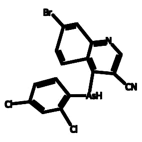 N#Cc1cnc2cc(Br)ccc2c1[AsH]c1ccc(Cl)cc1Cl